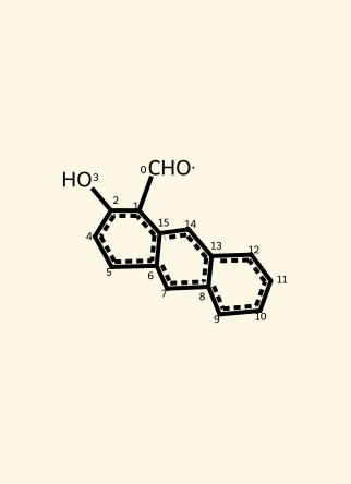 O=[C]c1c(O)ccc2cc3ccccc3cc12